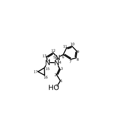 OCC=CN1N(c2ccccc2)C=CN1C1CC1